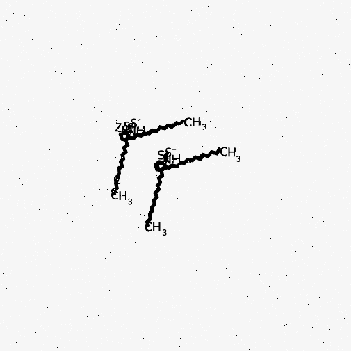 CCCCCCCCCCCCCCCc1cccc(NC(=S)[S-])c1CCCCCCCCCCCCCCC.CCCCCCCCCCCCCCCc1cccc(NC(=S)[S-])c1CCCCCCCCCCCCCCC.[Zn+2]